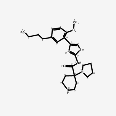 CCCCc1ccc(OC)c(-c2csc(NC(=O)C3(N4C[CH]CC4)CCNCC3)n2)c1